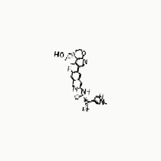 CC[C@H]1C(c2cnn(C)c2)[C@H]1C(=O)Nc1cc2cc(-c3cnc4c(c3C)N(C(=O)O)CCO4)c(F)cc2cn1